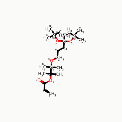 C=CC(=O)OC(C)(C)[Si](C)(C)O[SiH2]CC[Si](C)(O[Si](C)(C)C)O[Si](C)(C)C